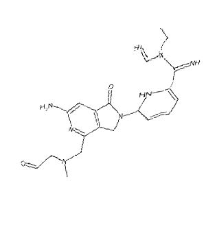 CCN(C=N)C(=N)C1=CC=CC(N2Cc3c(cc(N)nc3CN(C)CC=O)C2=O)N1